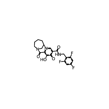 O=C(NCc1c(F)cc(F)cc1F)c1cn2c(c(O)c1=O)C(=O)N1CCCCC2C1